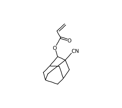 C=CC(=O)OC1C2CC3CC(C2)CC1(C#N)C3